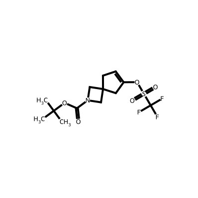 CC(C)(C)OC(=O)N1CC2(CC=C(OS(=O)(=O)C(F)(F)F)C2)C1